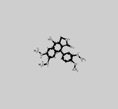 COc1ccc(-c2c3c(c(O)c4cc(OC)c(OC)cc24)COC3=O)cc1OC